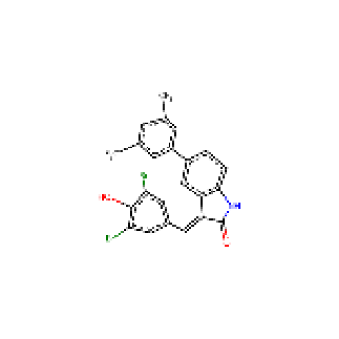 O=C1Nc2ccc(-c3cc(C(F)(F)F)cc(C(F)(F)F)c3)cc2C1=Cc1cc(Br)c(O)c(Br)c1